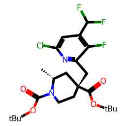 C[C@@H]1C[C@](Cc2nc(Cl)cc(C(F)F)c2F)(C(=O)OC(C)(C)C)CCN1C(=O)OC(C)(C)C